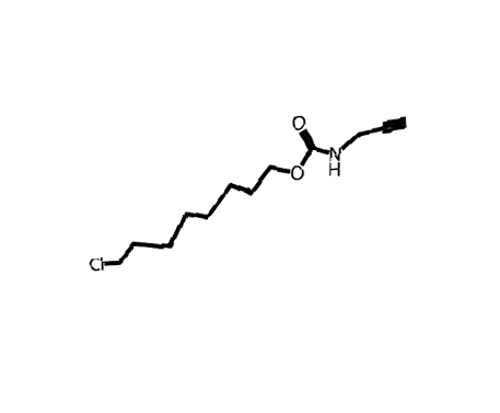 C#CCNC(=O)OCCCCCCCCCl